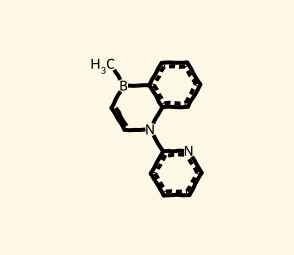 CB1C=CN(c2ccccn2)c2ccccc21